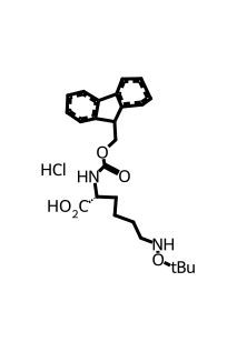 CC(C)(C)ONCCCC[C@@H](NC(=O)OCC1c2ccccc2-c2ccccc21)C(=O)O.Cl